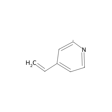 C=Cc1c[c]ncc1